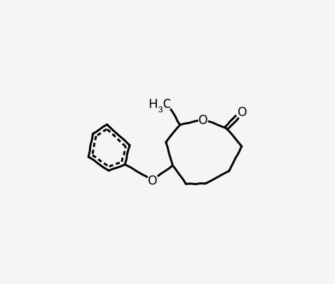 CC1CC(Oc2ccccc2)CCCCC(=O)O1